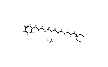 CCN(CC)CCCCCCCCCCCCCc1ccccc1.O